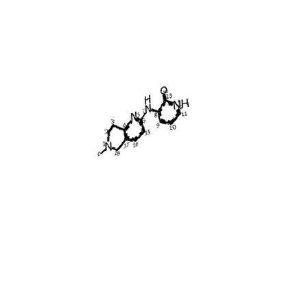 CN1CCc2nc(Nc3ccc[nH]c3=O)ccc2C1